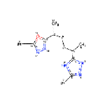 CC(C)c1nnc(C(C)CCC(C)c2nnc(C(C)C)o2)[nH]1